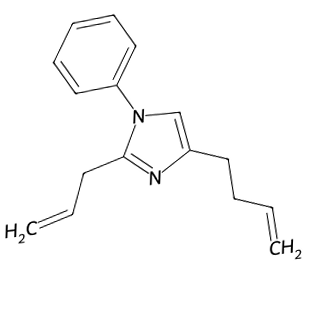 C=CCCc1cn(-c2ccccc2)c(CC=C)n1